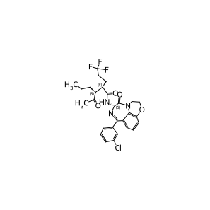 CCC[C@H](C(C)=O)[C@@H](CCC(F)(F)F)C(=O)N[C@H]1N=C(c2cccc(Cl)c2)c2cccc3c2N(CCO3)C1=O